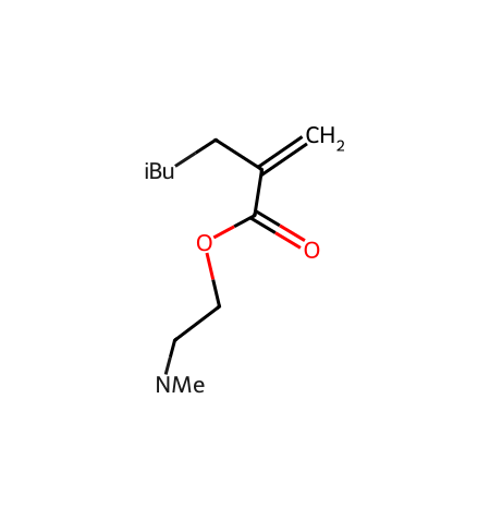 C=C(CC(C)CC)C(=O)OCCNC